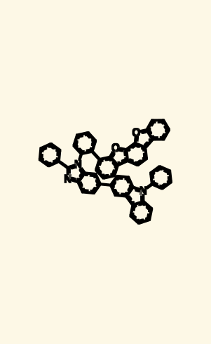 c1ccc(-c2nc3ccc(-c4ccc5c(c4)c4ccccc4n5-c4ccccc4)cc3n2-c2ccccc2-c2cccc3c2oc2c3ccc3c4ccccc4oc32)cc1